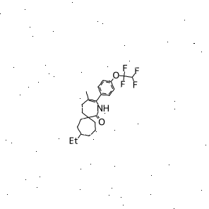 CCC1CCCC2(CCC(C)=C(c3ccc(OC(F)(F)C(F)F)cc3)NC2=O)CC1